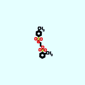 Cc1ccc(S(=O)(=O)OCCOS(=O)(=O)c2ccccc2C)cc1